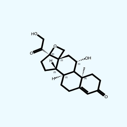 C[C@]12CCC(=O)C=C1CC[C@@H]1C2[C@@H](O)C[C@]23CO[C@]2(C(=O)CO)CC[C@@H]13